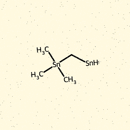 [CH3][Sn]([CH3])([CH3])[CH2][SnH]